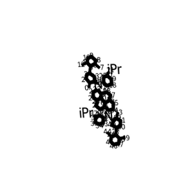 Cc1ccc(-c2c(C)cccc2C)cc1N(c1cccc(C(C)C)c1)c1ccc2ccc3c(N(c4cccc(C(C)C)c4)c4cc(-c5c(C)cccc5C)ccc4C)ccc4ccc1c2c43